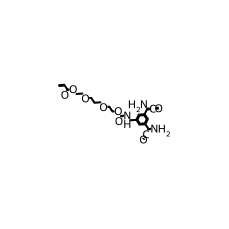 C=CC(=O)OCCOCCCOCCOC(=O)NCc1cc(C(N)=C=O)cc(C(N)=C=O)c1